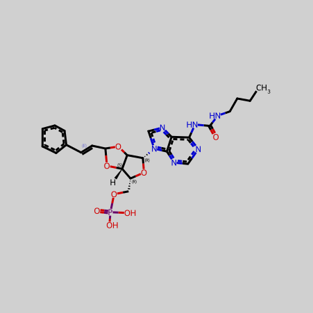 CCCCNC(=O)Nc1ncnc2c1ncn2[C@@H]1O[C@H](COP(=O)(O)O)[C@@H]2OC(/C=C/c3ccccc3)OC21